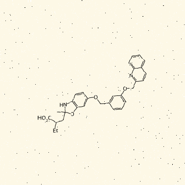 CCC(CC1(C)Nc2ccc(OCc3cccc(OCc4ccc5ccccc5n4)c3)cc2O1)C(=O)O